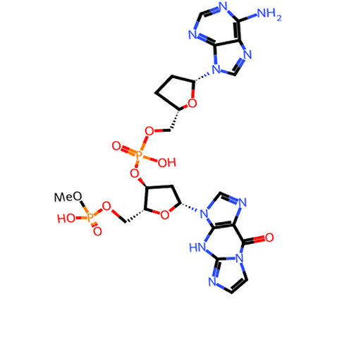 COP(=O)(O)OC[C@H]1O[C@@H](n2cnc3c(=O)n4ccnc4[nH]c32)C[C@@H]1OP(=O)(O)OC[C@@H]1CC[C@H](n2cnc3c(N)ncnc32)O1